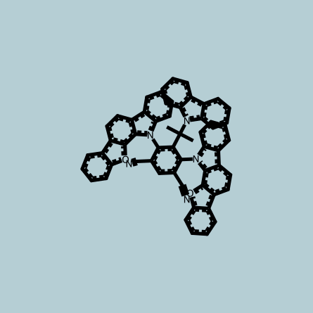 CC(C)(c1c(-n2c3ccccc3c3ccc4c5ccccc5oc4c32)c(C#N)cc(C#N)c1-n1c2ccccc2c2ccc3c4ccccc4oc3c21)n1c2ccccc2c2ccccc21